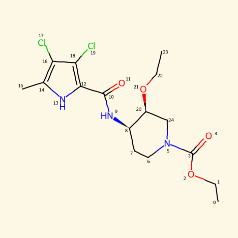 CCOC(=O)N1CC[C@@H](NC(=O)c2[nH]c(C)c(Cl)c2Cl)[C@@H](OCC)C1